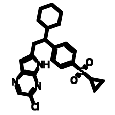 O=S(=O)(c1ccc(C(Cc2cc3ncc(Cl)nc3[nH]2)C2CCCCC2)cc1)C1CC1